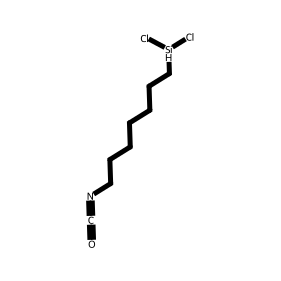 O=C=NCCCCCCC[SiH](Cl)Cl